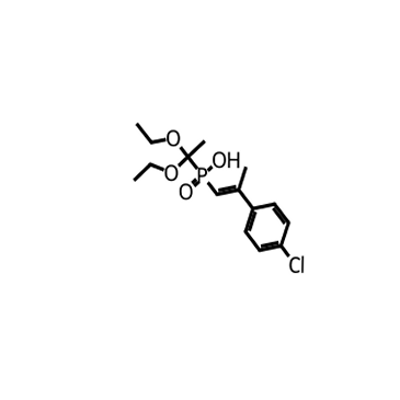 CCOC(C)(OCC)P(=O)(O)C=C(C)c1ccc(Cl)cc1